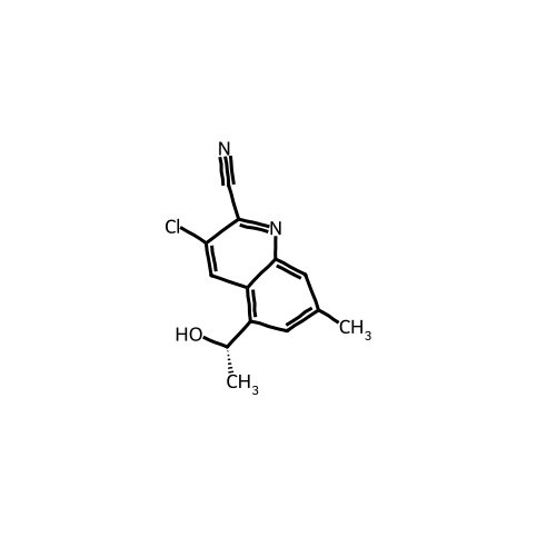 Cc1cc([C@H](C)O)c2cc(Cl)c(C#N)nc2c1